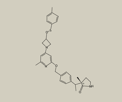 Cc1ccc(SOC2CN(c3cc(C)nc(OCc4ccc(C(C)[C@]5(C)CCNC5=O)cc4)c3)C2)cc1